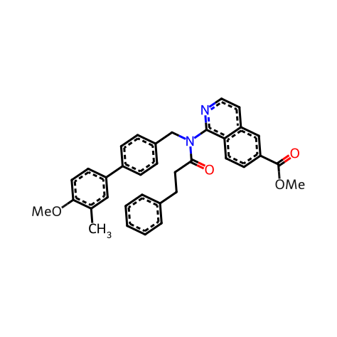 COC(=O)c1ccc2c(N(Cc3ccc(-c4ccc(OC)c(C)c4)cc3)C(=O)CCc3ccccc3)nccc2c1